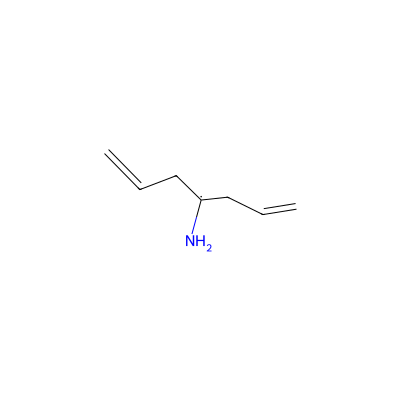 C=CC[C](N)CC=C